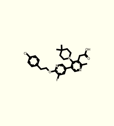 Cc1ncc(-c2cnc(OCCc3ccc(Cl)cc3)c(F)c2)c(N2CCC(C)(C)CC2)c1CC(=O)O